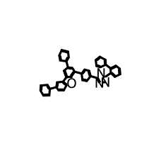 c1ccc(-c2ccc3oc4c(-c5ccc(-c6nnc7c8ccccc8c8ccccc8n67)cc5)cc(-c5ccccc5)cc4c3c2)cc1